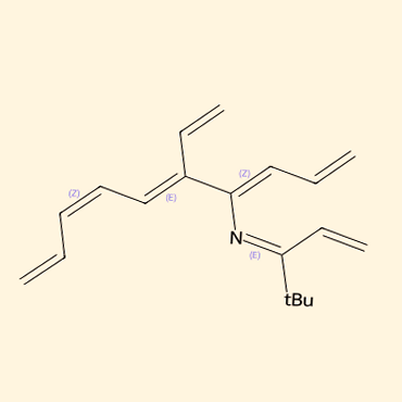 C=C\C=C/C=C(C=C)/C(=C/C=C)/N=C(\C=C)C(C)(C)C